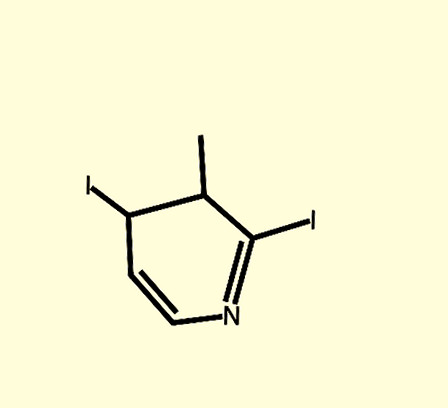 CC1C(I)=NC=CC1I